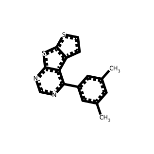 Cc1cc(C)cc(-c2ncnc3sc4sccc4c23)c1